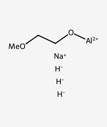 COCC[O][Al+2].[H-].[H-].[H-].[Na+]